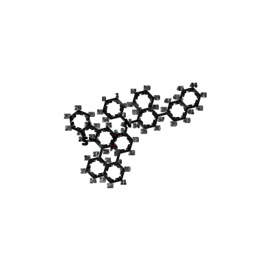 c1ccc(N(c2ccc(-c3cccc4cccc(-c5cccc6c5sc5ccccc56)c34)cc2)c2ccc(-c3ccc4ccccc4c3)c3ccccc23)cc1